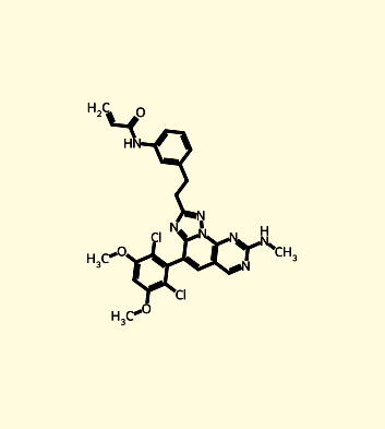 C=CC(=O)Nc1cccc(CCc2nc3c(-c4c(Cl)c(OC)cc(OC)c4Cl)cc4cnc(NC)nc4n3n2)c1